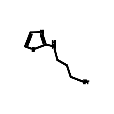 CC(C)CCCNc1nccs1